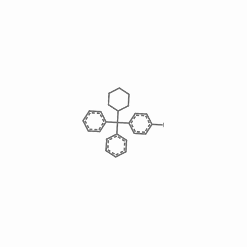 Ic1ccc(C(c2ccccc2)(c2ccccc2)C2CCCCC2)cc1